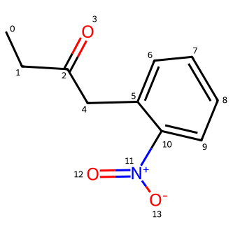 CCC(=O)Cc1ccccc1[N+](=O)[O-]